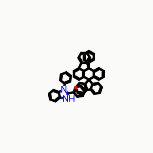 c1ccc(N2c3ccccc3NC2c2ccc(-c3ccccc3C3(c4ccccc4)c4ccccc4C4(c5ccccc5)c5ccccc5-c5cccc3c54)cc2)cc1